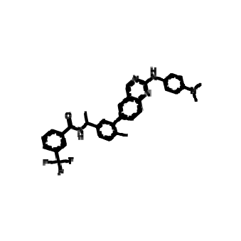 Cc1ccc(C(C)NC(=O)c2cccc(C(F)(F)F)c2)cc1-c1ccc2nc(Nc3ccc(N(C)C)cc3)ncc2c1